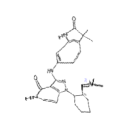 C/N=C\[C@H]1CCCCC1n1nc(Nc2ccc3c(c2)NC(=O)C3(C)C)c2c(=O)[nH]ccc21